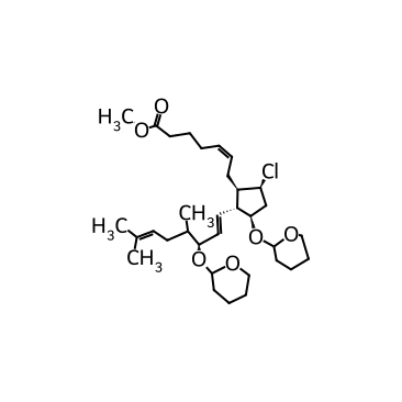 COC(=O)CCC/C=C\C[C@@H]1[C@@H](/C=C/[C@@H](OC2CCCCO2)C(C)CC=C(C)C)[C@H](OC2CCCCO2)C[C@@H]1Cl